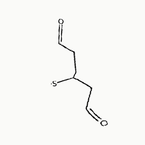 O=CCC([S])CC=O